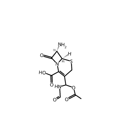 CC(=O)OC(NC=O)C1=C(C(=O)O)N2C(=O)[C@H](N)[C@H]2SC1